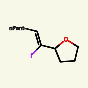 CCCCC/C=C(\I)C1CCCO1